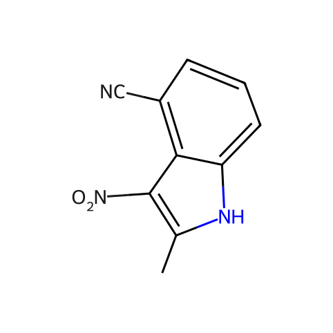 Cc1[nH]c2cccc(C#N)c2c1[N+](=O)[O-]